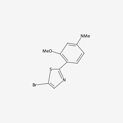 CNc1ccc(-c2ncc(Br)s2)c(OC)c1